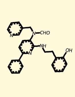 O=CN(Cc1cccnc1)c1ccc(-c2ccccc2)nc1NCCc1ccccc1O